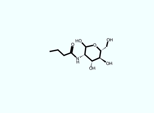 CCCC(=O)N[C@@H]1C(O)O[C@H](CO)[C@@H](O)[C@@H]1O